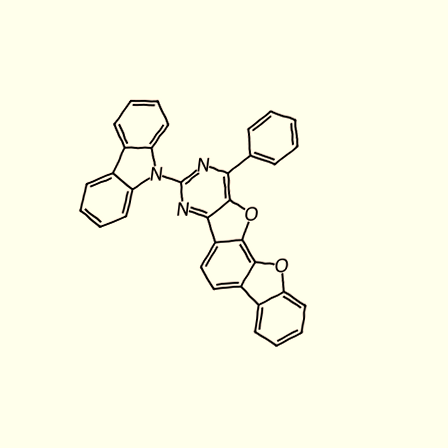 c1ccc(-c2nc(-n3c4ccccc4c4ccccc43)nc3c2oc2c3ccc3c4ccccc4oc32)cc1